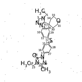 CCn1cnnc1C1(c2cccc(Sc3ccc(-n4nc(C)n(CC)c4=O)cc3)c2)CCOCC1